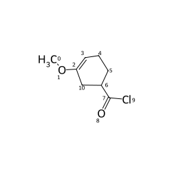 COC1=CCCC(C(=O)Cl)C1